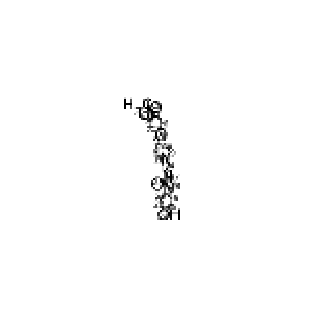 CS(=O)(=O)c1ccc(OCC2CCN(CCN3CCN(c4ccc(O)cc4)C3=O)CC2)cc1